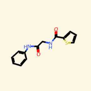 O=C(CNC(=O)c1cccs1)Nc1ccccc1